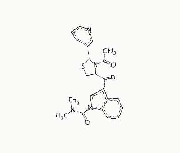 CC(=O)N1C(C(=O)c2cn(C(=O)N(C)C)c3ccccc23)CSC1c1cccnc1